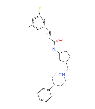 O=C(/C=C/c1cc(F)cc(F)c1)NC1CCC(CN2CCC(c3ccccc3)CC2)C1